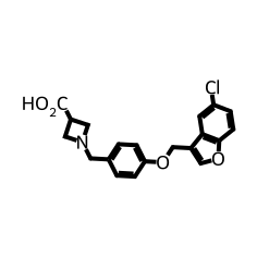 O=C(O)C1CN(Cc2ccc(OCc3coc4ccc(Cl)cc34)cc2)C1